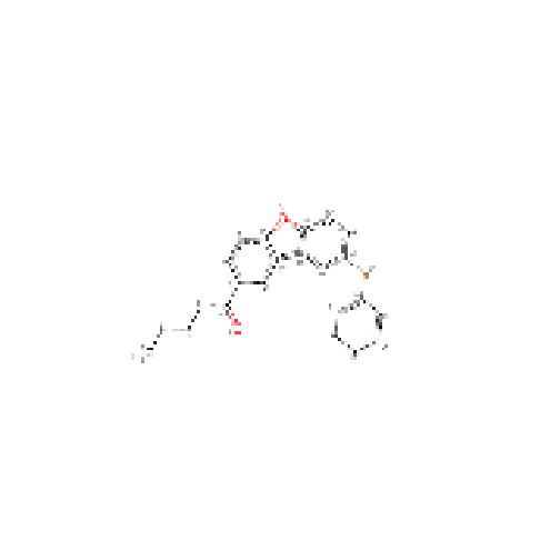 CCCCC(=O)c1ccc2oc3ccc(SC4=CCCC=C4)cc3c2c1